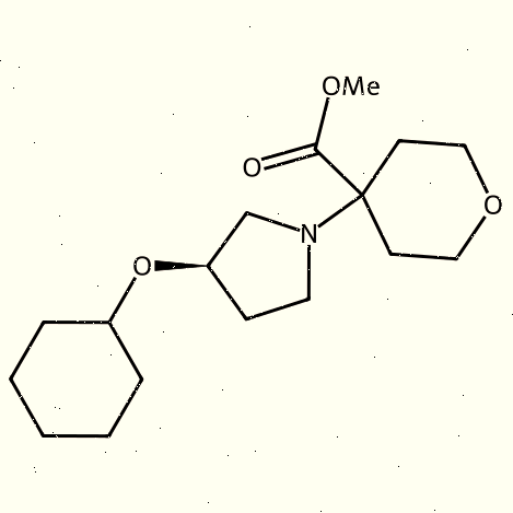 COC(=O)C1(N2CC[C@@H](OC3CCCCC3)C2)CCOCC1